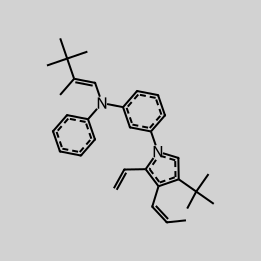 C=Cc1c(/C=C\C)c(C(C)(C)C)cn1-c1cccc(N(/C=C(\C)C(C)(C)C)c2ccccc2)c1